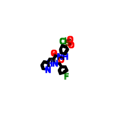 O=C(N[C@@H](Cc1cccnc1)C(=O)Nc1ccc(S(=O)(=O)Cl)cc1)c1ccc(F)cc1